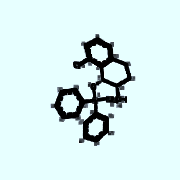 CC(C)(C)[Si](O[C@@H]1c2c(Cl)cccc2CC[C@H]1O)(c1ccccc1)c1ccccc1